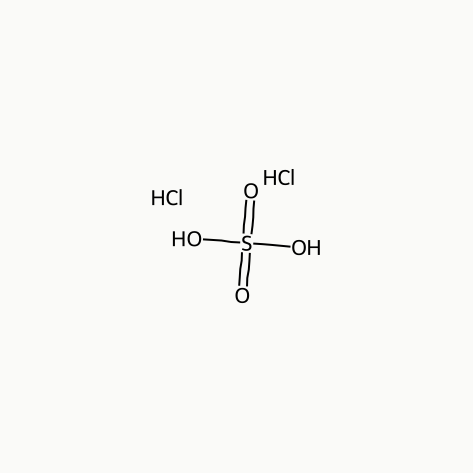 Cl.Cl.O=S(=O)(O)O